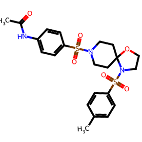 CC(=O)Nc1ccc(S(=O)(=O)N2CCC3(CC2)OCCN3S(=O)(=O)c2ccc(C)cc2)cc1